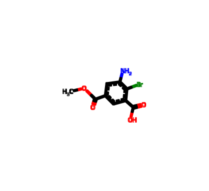 COC(=O)c1cc(N)c(Br)c(C(=O)O)c1